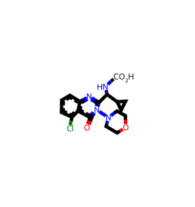 O=C(O)NC(c1nc2cccc(Cl)c2c(=O)n1N1CCOCC1)C1CC1